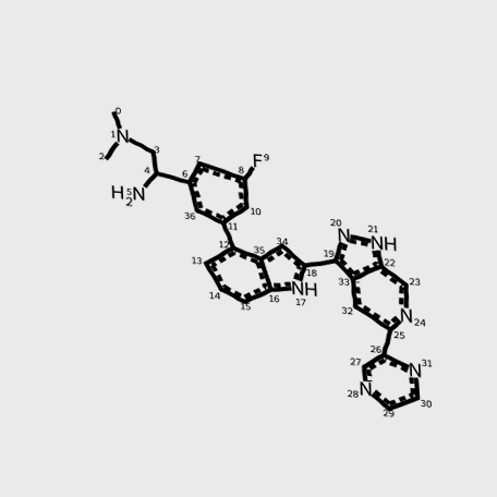 CN(C)CC(N)c1cc(F)cc(-c2cccc3[nH]c(-c4n[nH]c5cnc(-c6cnccn6)cc45)cc23)c1